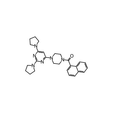 O=C(c1cccc2ccccc12)N1CCN(c2cc(N3CCCC3)nc(N3CCCC3)n2)CC1